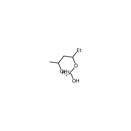 CCC(CC(C)O)O[SiH2]O